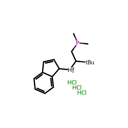 CP(C)C[CH]([Hf][CH]1C=Cc2ccccc21)C(C)(C)C.Cl.Cl.Cl